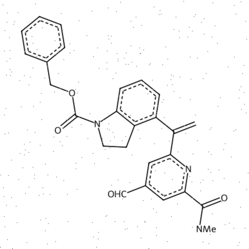 C=C(c1cc(C=O)cc(C(=O)NC)n1)c1cccc2c1CCN2C(=O)OCc1ccccc1